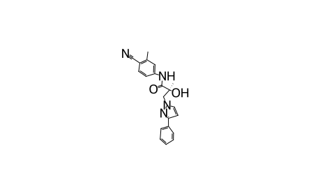 Cc1cc(NC(=O)[C@@](C)(O)Cn2ccc(-c3ccccc3)n2)ccc1C#N